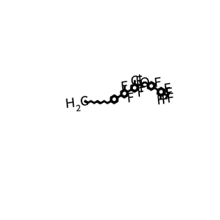 C=CCC/C=C/CCc1ccc(-c2cc(F)c(-c3cc(F)c(C(F)(F)Oc4ccc(-c5cc(F)c(C(F)(F)F)c(F)c5)c(F)c4)c(Cl)c3)c(F)c2)cc1